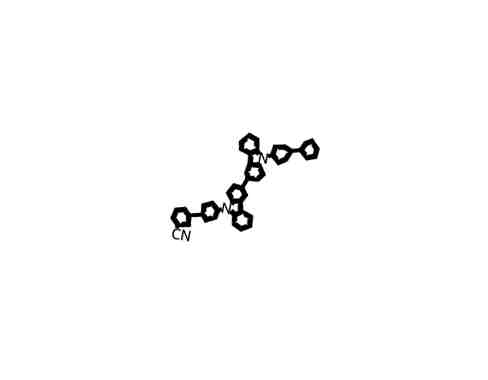 N#Cc1cccc(-c2ccc(-n3c4ccccc4c4cc(-c5ccc6c(c5)c5ccccc5n6-c5ccc(-c6ccccc6)cc5)ccc43)cc2)c1